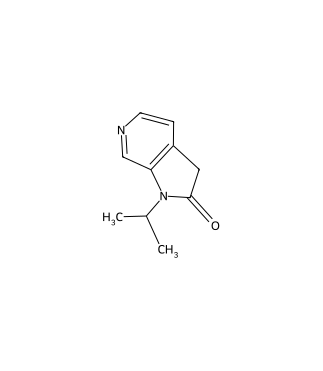 CC(C)N1C(=O)Cc2ccncc21